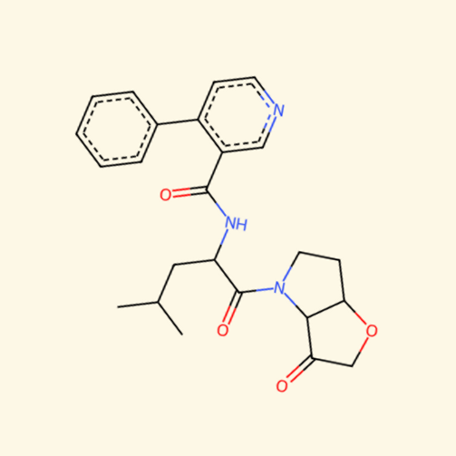 CC(C)CC(NC(=O)c1cnccc1-c1ccccc1)C(=O)N1CCC2OCC(=O)C21